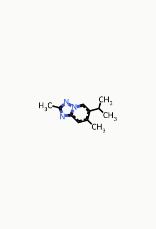 Cc1nc2cc(C)c(C(C)C)cn2n1